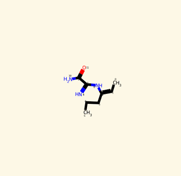 C/C=C(/CCC)NC(=N)C(N)=O